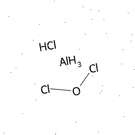 Cl.ClOCl.[AlH3]